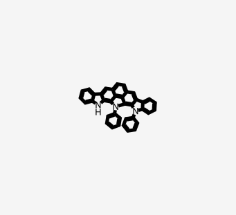 c1ccc(-n2c3ccccc3c3cc4ccc5cc6c7ccccc7[nH]c6c6c5c4c(c32)n6-c2ccccc2)cc1